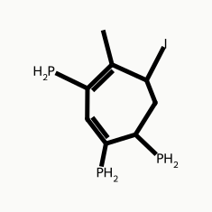 CC1=C(P)C=C(P)C(P)CC1I